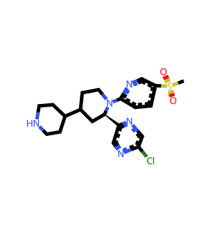 CS(=O)(=O)c1ccc(N2CCC(C3CCNCC3)C[C@@H]2c2cnc(Cl)cn2)nc1